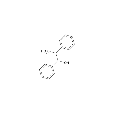 O=C(O)C(c1ccccc1)C(O)c1ccccc1